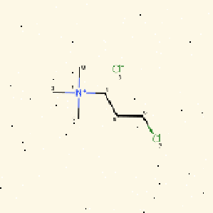 C[N+](C)(C)CCCCl.[Cl-]